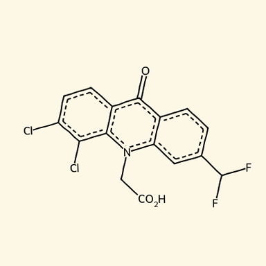 O=C(O)Cn1c2cc(C(F)F)ccc2c(=O)c2ccc(Cl)c(Cl)c21